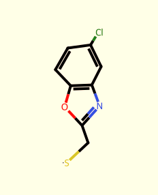 [S]Cc1nc2cc(Cl)ccc2o1